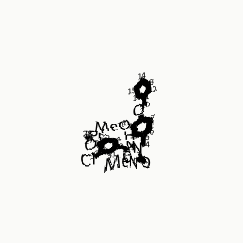 CNC(=O)N(Cc1ccc(OCc2ccccc2)c(OC)c1)NC(=O)c1ccc(OC(C)C)c(Cl)c1